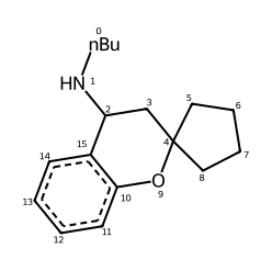 CCCCNC1CC2(CCCC2)Oc2ccccc21